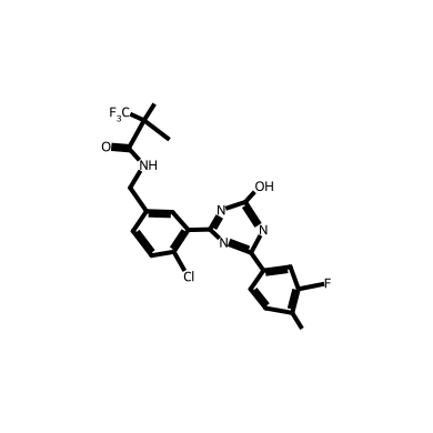 Cc1ccc(-c2nc(O)nc(-c3cc(CNC(=O)C(C)(C)C(F)(F)F)ccc3Cl)n2)cc1F